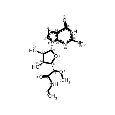 CCNC(=O)C(OC)[C@H]1O[C@@H](n2cnc3c(=O)[nH]c(N)nc32)[C@H](O)[C@@H]1O